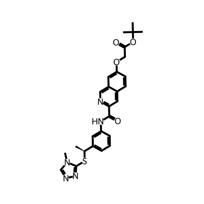 C[C@H](Sc1nncn1C)c1cccc(NC(=O)c2cc3ccc(OCC(=O)OC(C)(C)C)cc3cn2)c1